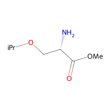 COC(=O)[C@@H](N)COC(C)C